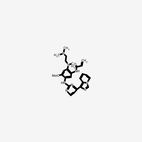 C=CC(=O)Nc1cc(Nc2nccc(-c3ncn4ccccc34)n2)c(OC)cc1N(C)CCN(C)C